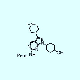 CCCC(C)Nc1ncc2c(C3CCNCC3)cn([C@H]3CC[C@H](O)CC3)c2n1